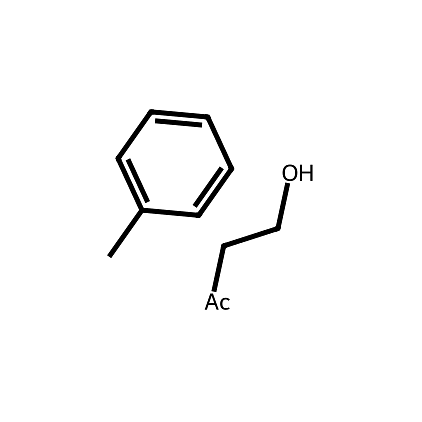 CC(=O)CCO.Cc1ccccc1